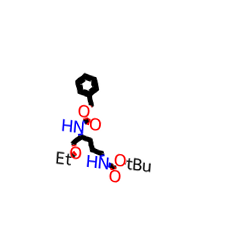 CCOCC(CCCNC(=O)OC(C)(C)C)NC(=O)OCc1ccccc1